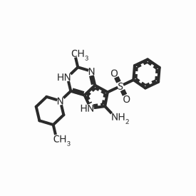 CC1CCCN(C2=c3[nH]c(N)c(S(=O)(=O)c4ccccc4)c3=NC(C)N2)C1